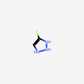 FC1=CNNN1